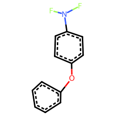 FN(F)c1ccc(Oc2ccccc2)cc1